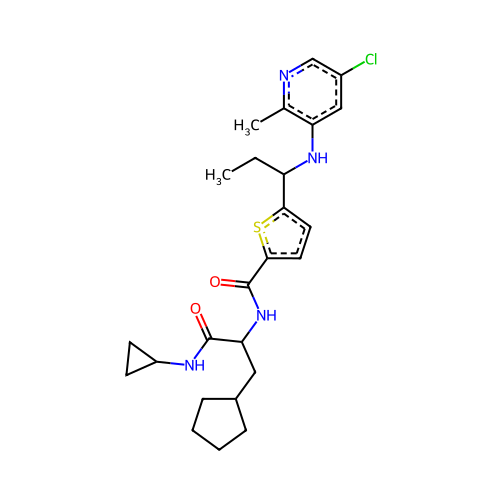 CCC(Nc1cc(Cl)cnc1C)c1ccc(C(=O)NC(CC2CCCC2)C(=O)NC2CC2)s1